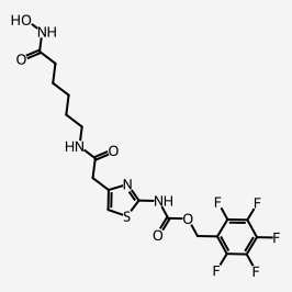 O=C(CCCCCNC(=O)Cc1csc(NC(=O)OCc2c(F)c(F)c(F)c(F)c2F)n1)NO